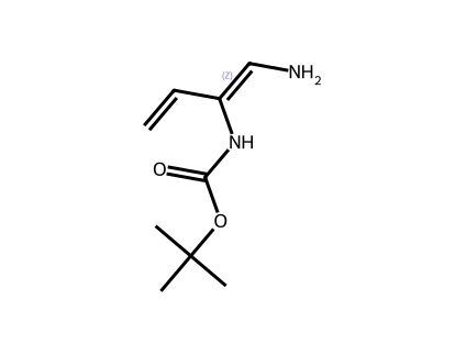 C=C/C(=C/N)NC(=O)OC(C)(C)C